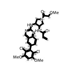 C=CC(=O)NC1CN(C(=O)COC)CC1Nc1ncc2cc(-c3c(Cl)c(OC)cc(OC)c3Cl)ccc2n1